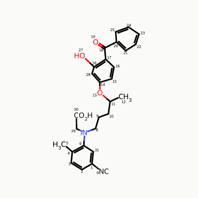 [C-]#[N+]c1ccc(C)c(N(CCCC(C)Oc2ccc(C(=O)c3ccccc3)c(O)c2)CC(=O)O)c1